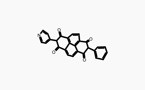 O=C1c2ccc3c4c(ccc(c24)C(=O)C1c1ccccc1)C(=O)C(c1ccncc1)C3=O